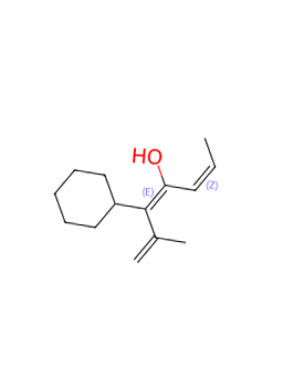 C=C(C)/C(=C(O)\C=C/C)C1CCCCC1